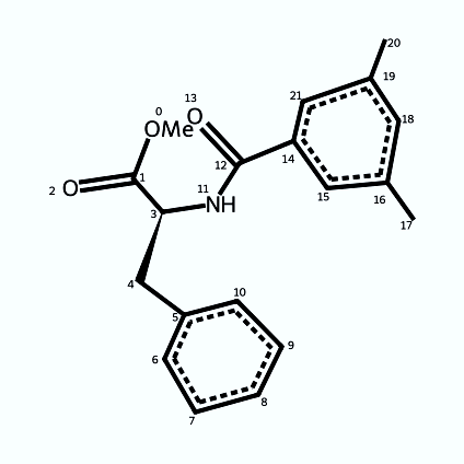 COC(=O)[C@H](Cc1ccccc1)NC(=O)c1cc(C)cc(C)c1